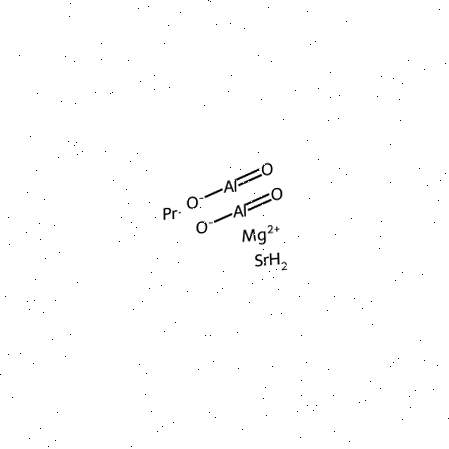 [Mg+2].[O]=[Al][O-].[O]=[Al][O-].[Pr].[SrH2]